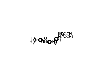 CN(C)c1ccc(C(=O)Nc2ccc(-n3ncc4cc(NNC(=O)OC(C)(C)C)ccc43)cc2)cc1